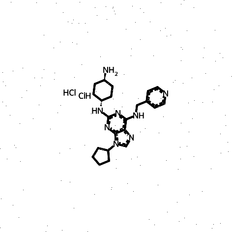 Cl.Cl.N[C@H]1CC[C@H](Nc2nc(NCc3ccncc3)c3ncn(C4CCCC4)c3n2)CC1